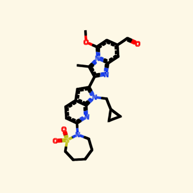 COc1cc(C=O)cc2nc(-c3cc4ccc(N5CCCCCS5(=O)=O)nc4n3CC3CC3)c(C)n12